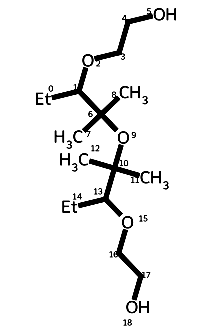 CCC(OCCO)C(C)(C)OC(C)(C)C(CC)OCCO